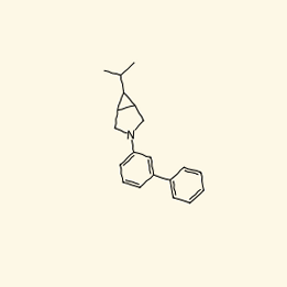 CC(C)C1C2CN(c3cccc(-c4ccccc4)c3)CC21